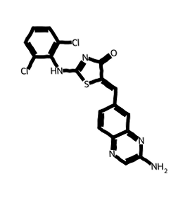 Nc1cnc2ccc(/C=C3\SC(Nc4c(Cl)cccc4Cl)=NC3=O)cc2n1